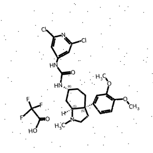 COc1ccc([C@@]23CC[C@@H](NC(=O)Nc4cc(Cl)nc(Cl)c4)C[C@@H]2N(C)CC3)cc1OC.O=C(O)C(F)(F)F